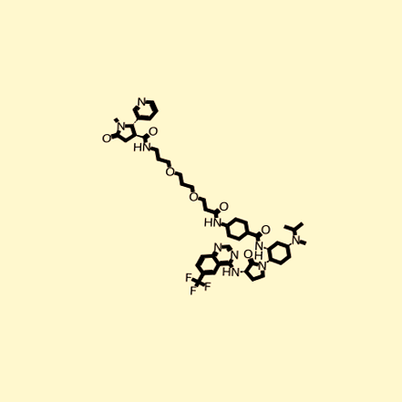 CC(C)N(C)[C@@H]1CC[C@H](N2CC[C@H](Nc3ncnc4ccc(C(F)(F)F)cc34)C2=O)[C@H](NC(=O)C2CCC(NC(=O)CCOCCCOCCCNC(=O)[C@H]3CC(=O)N(C)[C@@H]3c3cccnc3)CC2)C1